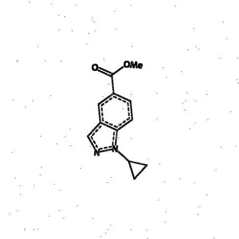 COC(=O)c1ccc2c(cnn2C2CC2)c1